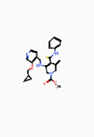 C=C1CN(C(=O)OC(C)(C)C)CC(NCc2ccncc2OCC2CC2)=C1C(=S)Nc1ccccc1